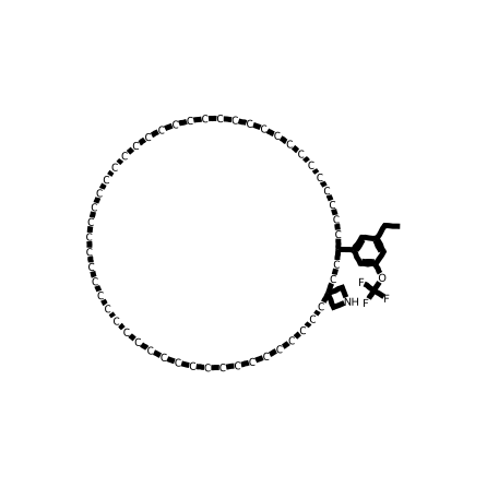 CCc1cc(OC(F)(F)F)cc(C2CCCCCCCCCCCCCCCCCCCCCCCCCCCCCCCCCCCCCCCCCCCCCCCCC3(CC2)CNC3)c1